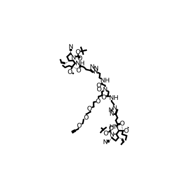 C#CCOCCOCCOCCOCCC(=O)N(CC(=O)NCCn1cc(CCC(=O)N[C@H]([C@H]2[C@H](/C=C\C)C[C@H](C#N)N2C(=O)OC(C)(C)C)[C@](C)(CCC)OC)nn1)CC(=O)NCCn1cc(CCC(=O)N[C@H]([C@H]2[C@H](/C=C\C)C[C@H](C#N)N2C(=O)OC(C)(C)C)[C@](C)(CCC)OC)nn1